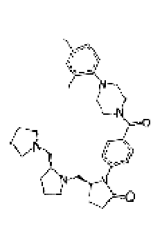 Cc1ccc(N2CCN(C(=O)c3ccc(N4C(=O)CC[C@H]4CN4CCC[C@H]4CN4CCCC4)cc3)CC2)c(C)c1